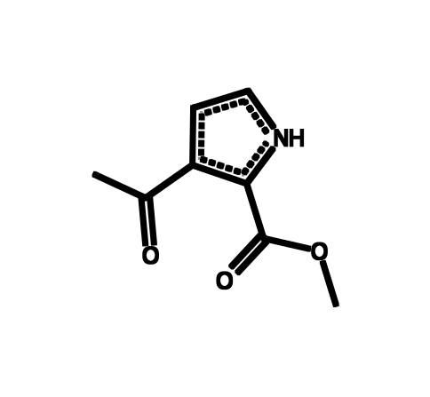 COC(=O)c1[nH]ccc1C(C)=O